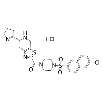 Cl.O=C(c1nc2c(s1)CNC(C1=NCCC1)C2)N1CCN(S(=O)(=O)c2ccc3cc(Cl)ccc3c2)CC1